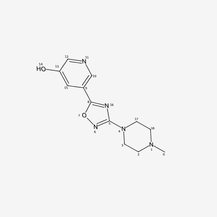 CN1CCN(c2noc(-c3cncc(O)c3)n2)CC1